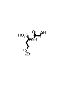 CCSCCC(NC(=O)CS)C(=O)O